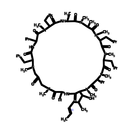 C/C=C/CC(C)C(O)C1C(=O)NC(CC)C(=O)N(C)CC(=O)CN(C)C(CC(C)C)C(=O)NC(C(C)C)C(=O)N(C)C(CC(C)C)C(=O)NC(C)C(=O)N(C)C(C)C(=O)N(C)C(CC(C)C)C(=O)N(C)C(CC(C)C)C(=O)N(C)C(C(C)C)C(=O)N1C